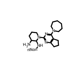 CCCCCCCCCNC1C(N)CCCN1c1nc2c(c(N3CCCCCC3)n1)CCC2